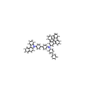 c1ccc(-c2ccc(N(c3ccc(-c4ccc(-n5c6ccccc6c6c7ccccc7ccc65)cc4)cc3)c3ccc(C4(c5ccccc5)c5ccccc5-c5ccccc54)cc3)cc2)cc1